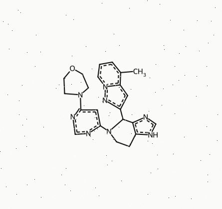 Cc1cccn2nc(C3c4nc[nH]c4CCN3c3cc(N4CCOCC4)ncn3)cc12